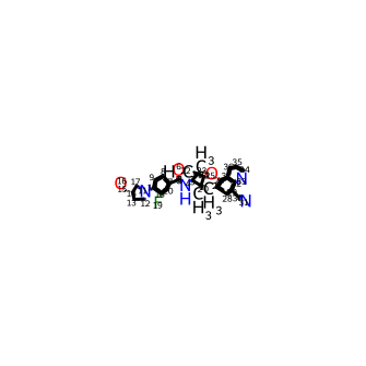 CC1(C)C(NC(=O)c2ccc(N3CC[C@H](C=O)C3)c(F)c2)C(C)(C)C1Oc1ccc(C#N)c2ncccc12